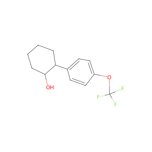 OC1CCCCC1c1ccc(OC(F)(F)F)cc1